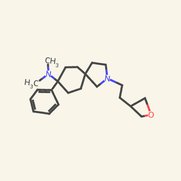 CN(C)C1(c2ccccc2)CCC2(CCN(CCC3COC3)C2)CC1